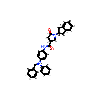 O=C(Nc1ccc(N(Cc2ccccc2)c2ccccc2)cc1)C1CC(=O)N(C2Cc3ccccc3C2)C1